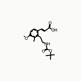 COc1ccc(/C=C/C(=O)O)c(CCNC(=O)OC(C)(C)C)c1C